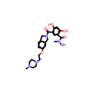 CCCN(C)C(=O)c1cc(C(=O)N2Cc3ccc(OCCN4CCN(C)CC4)cc3C2)c(O)cc1O